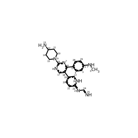 CNc1ccc(-c2nc(N3CCC(N)CC3)ncc2-c2cc/c(=N/C=N)[nH]c2)cc1